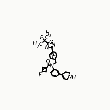 CC(C)(F)c1nc(C23CCC(CN(C(=O)C45CC(F)(C4)C5)c4cccc(C5=CCNCC5)c4)(CC2)CC3)no1